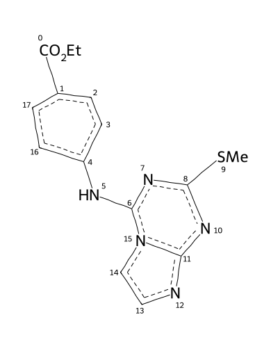 CCOC(=O)c1ccc(Nc2nc(SC)nc3nccn23)cc1